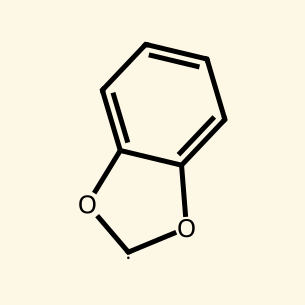 [CH]1Oc2ccccc2O1